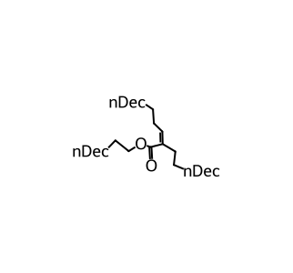 CCCCCCCCCCCCC=C(CCCCCCCCCCCC)C(=O)OCCCCCCCCCCCC